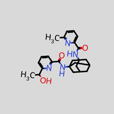 Cc1cccc(C(=O)NC23CC4CC(C2)CC(NC(=O)c2cccc(C(C)O)n2)(C4)C3)n1